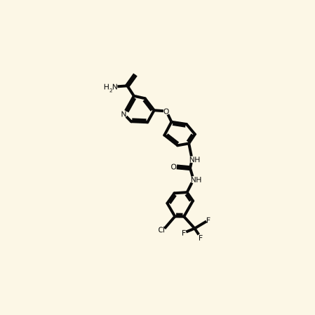 C=C(N)c1cc(Oc2ccc(NC(=O)Nc3ccc(Cl)c(C(F)(F)F)c3)cc2)ccn1